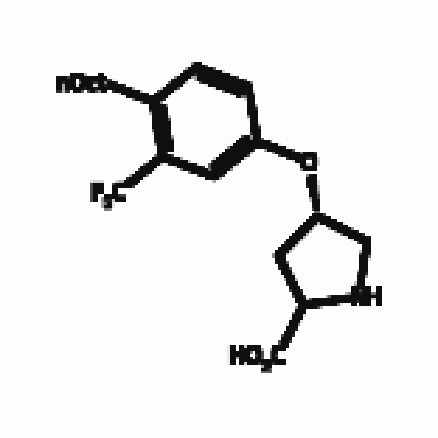 CCCCCCCCc1ccc(O[C@@H]2CNC(C(=O)O)C2)cc1C(F)(F)F